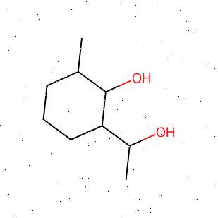 CC(O)C1CCCC(C)C1O